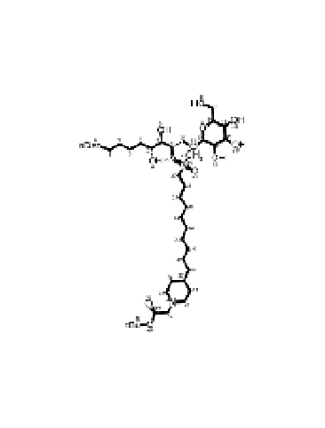 CCCCCCCCCCCCCC[C@@H](O)[C@@H](O)[C@H](COC1OC(CO)C(O)C(O)C1O)N=S(C)(=O)CCCCCCCCCCC1CCN(CC(=O)OC(C)(C)C)CC1